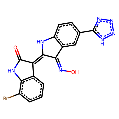 O=C1Nc2c(Br)cccc2/C1=C1/Nc2ccc(-c3nnn[nH]3)cc2/C1=N\O